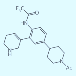 CC(=O)N1CCC(c2ccc(NC(=O)C(F)(F)F)c(C3=CCCNC3)c2)CC1